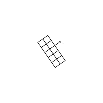 NC12C3CC4CC5C6C7C8CC9CC%10C1C7(C98%10)C62C453